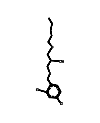 CCCCCOCC(O)CSCc1ccc(Cl)cc1Cl